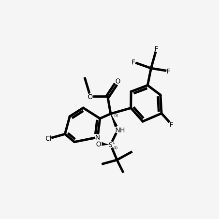 COC(=O)[C@](N[S@+]([O-])C(C)(C)C)(c1cc(F)cc(C(F)(F)F)c1)c1ccc(Cl)cn1